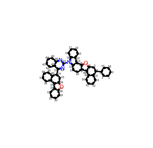 c1ccc(-c2cc3oc4c(ccc5c4c4ccccc4n5-c4nc(-c5cc6oc7ccccc7c6c6ccccc56)c5ccccc5n4)c3c3ccccc23)cc1